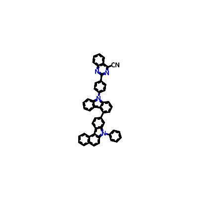 N#Cc1nc(-c2ccc(-n3c4ccccc4c4c(-c5ccc6c7c8ccccc8ccc7n(-c7ccccc7)c6c5)cccc43)cc2)nc2ccccc12